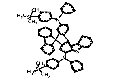 C[Si](C)(C)c1ccc(N(c2ccccc2)c2ccc3c(c2)C2(c4ccccc4-c4ccccc42)c2cc(N(c4ccccc4)c4ccc([Si](C)(C)C)cc4)c4sc5ccccc5c4c2-3)cc1